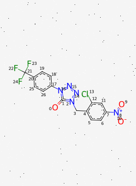 O=c1n(Cc2ccc([N+](=O)[O-])cc2Cl)nnn1-c1ccc(C(F)(F)F)cc1